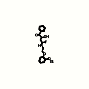 CCOc1ccccc1OCCNC(F)CC(O)C(=O)c1ccccc1